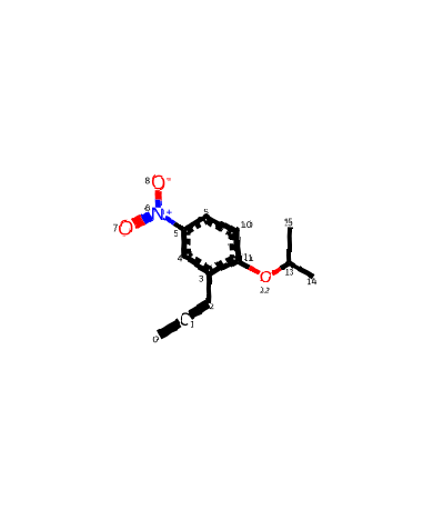 C=C=Cc1cc([N+](=O)[O-])ccc1OC(C)C